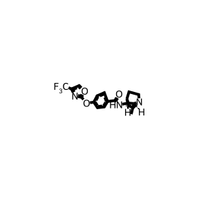 C[C@H]1[C@H](NC(=O)c2ccc(Oc3nc(C(F)(F)F)co3)cc2)C2CCN1CC2